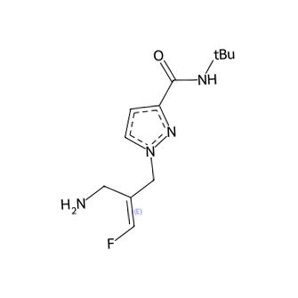 CC(C)(C)NC(=O)c1ccn(C/C(=C/F)CN)n1